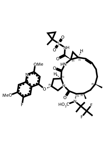 COc1cc(O[C@@H]2C[C@H]3C(=O)N[C@]4(C(=O)NS(=O)(=O)C5(C)CC5)C[C@H]4C=CCC[C@@H](C)C[C@@H](C)[C@H](N(C(=O)O)C(C)(C)C(C)(F)F)C(=O)N3C2)c2cc(F)c(OC)cc2n1